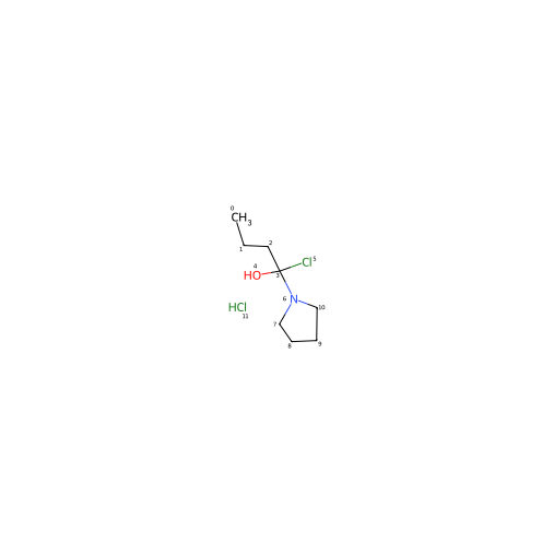 CCCC(O)(Cl)N1CCCC1.Cl